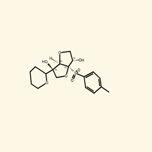 Cc1ccc(S(=O)(=O)[C@]23OC[C@](O)(C4CCCCO4)[C@H]2OC[C@@H]3O)cc1